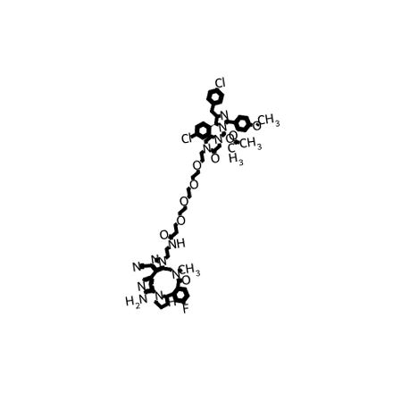 COc1ccc(C2=NC(Cc3ccc(Cl)cc3)[C@@H](c3ccc(Cl)cc3)N2C(=O)N2CCN(CCOCCOCCOCCOCCC(=O)NCCn3nc(C#N)c4c3CN(C)C(=O)c3ccc(F)cc3[C@H]3CCCN3c3cc-4cnc3N)C(=O)C2)c(OC(C)C)c1